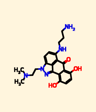 CN(C)CCn1nc2c3c(c(NCCCN)ccc31)C(=O)c1c(O)ccc(O)c1-2